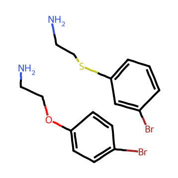 NCCOc1ccc(Br)cc1.NCCSc1cccc(Br)c1